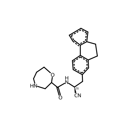 N#C[C@H](Cc1ccc2c(c1)CCc1ccccc1-2)NC(=O)C1CNCCCO1